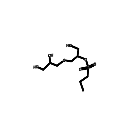 CCCS(=O)(=O)OC(CO)COCC(O)CO